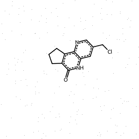 O=c1[nH]c2cc(CCl)cnc2c2c1CCC2